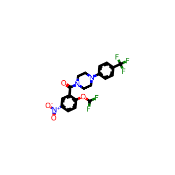 O=C(c1cc([N+](=O)[O-])ccc1OC(F)F)N1CCN(c2ccc(C(F)(F)F)cc2)CC1